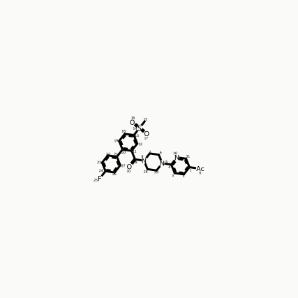 CC(=O)c1ccc(N2CCN(C(=O)c3cc(S(C)(=O)=O)ccc3-c3ccc(F)cc3)CC2)nc1